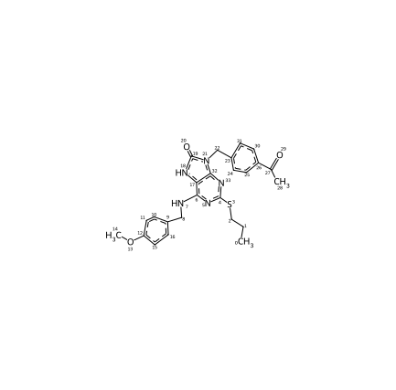 CCCSc1nc(NCc2ccc(OC)cc2)c2[nH]c(=O)n(Cc3ccc(C(C)=O)cc3)c2n1